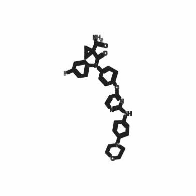 NC(=O)C1(C(=O)N(c2ccc(F)cc2)c2ccc(Oc3ccnc(Nc4ccc(N5CCOCC5)cc4)n3)cc2)CC1